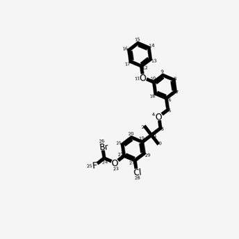 CC(C)(COCc1cccc(Oc2ccccc2)c1)c1ccc(OC(F)Br)c(Cl)c1